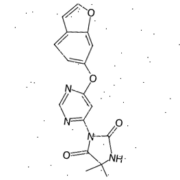 CC1(C)NC(=O)N(c2cc(Oc3ccc4ccoc4c3)ncn2)C1=O